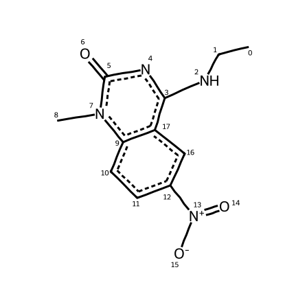 CCNc1nc(=O)n(C)c2ccc([N+](=O)[O-])cc12